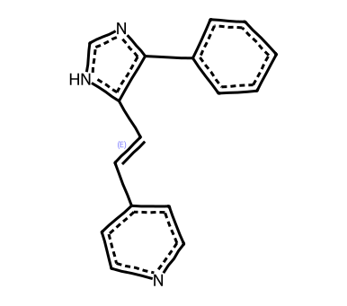 C(=C\c1[nH]cnc1-c1ccccc1)/c1ccncc1